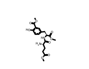 COC(=O)CC[C@H](N)C(=O)N[C@@H](Cc1ccc(O)c(C(=O)OC)c1)C(=O)OC